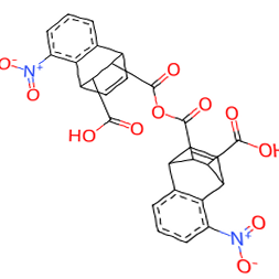 O=C(OC(=O)C1C2C=CC(c3c2cccc3[N+](=O)[O-])C1C(=O)O)C1C2C=CC(c3c2cccc3[N+](=O)[O-])C1C(=O)O